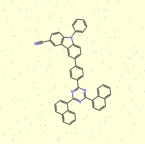 N#Cc1ccc2c(c1)c1cc(-c3ccc(-c4nc(-c5cccc6ccccc56)nc(-c5cccc6ccccc56)n4)cc3)ccc1n2-c1ccccc1